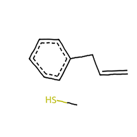 C=CCc1ccccc1.CS